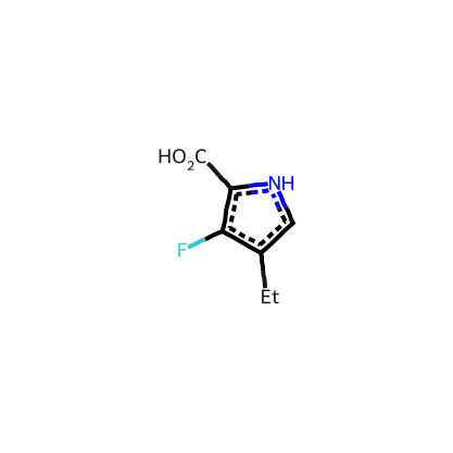 CCc1c[nH]c(C(=O)O)c1F